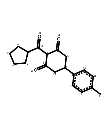 Cc1ccc(C2CC(=O)C(C(=O)C3CCCC3)C(=O)C2)cc1